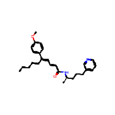 CCCCC/C(=C\C=C\C(=O)N[C@H](C)CCCc1cccnc1)c1ccc(OC)cc1